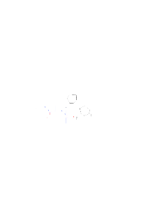 C[C@@H](OCC1(c2ccccc2)CCC(C(=O)NC2CC2)CN1)c1cc(C(F)(F)F)cc(C(F)(F)F)c1